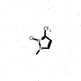 Cn1ccc(C(F)(F)F)[n+]1[O-]